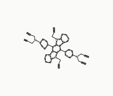 C#CCN(CC#C)c1ccc(-c2c3c4ccccc4n(CC#C)c3c(-c3ccc(N(CC#C)CC#C)cc3)c3c4ccccc4n(CC#C)c23)cc1